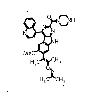 COc1cc2c(cc1/C(C)=C(\C)ON=C(C)C)[nH]c1nc(C(=O)N3CCNCC3)nc(-c3ccnc4ccccc34)c12